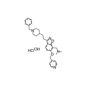 CN(C)Cc1c(OCc2ccncc2)ccc2c(CCC3CCN(Cc4ccccc4)CC3)noc12.Cl.Cl